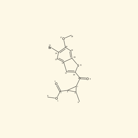 COC(=O)C1C(C)C1C(=O)c1cc2cc(Br)c(OC)cc2s1